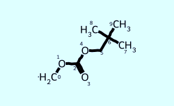 [CH2]OC(=O)OCC(C)(C)C